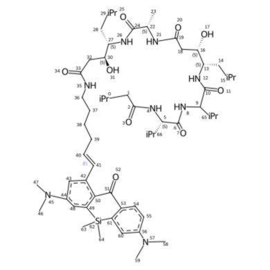 CC(C)CC(=O)N[C@H](C(=O)NC(C(=O)N[C@@H](CC(C)C)[C@@H](O)CC(=O)N[C@@H](C)C(=O)N[C@@H](CC(C)C)[C@@H](O)CC(=O)NCCCC/C=C/c1cc(N(C)C)cc2c1C(=O)c1ccc(N(C)C)cc1[Si]2(C)C)C(C)C)C(C)C